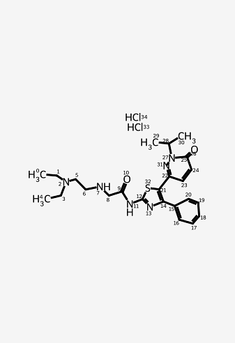 CCN(CC)CCNCC(=O)Nc1nc(-c2ccccc2)c(-c2ccc(=O)n(C(C)C)n2)s1.Cl.Cl